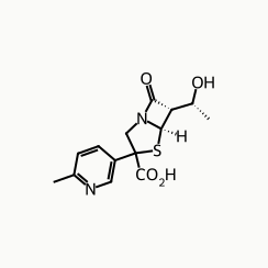 Cc1ccc(C2(C(=O)O)CN3C(=O)[C@H]([C@@H](C)O)[C@H]3S2)cn1